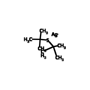 CC(C)(C)SC(C)(C)C.[Ag]